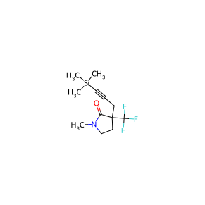 CN1CCC(CC#C[Si](C)(C)C)(C(F)(F)F)C1=O